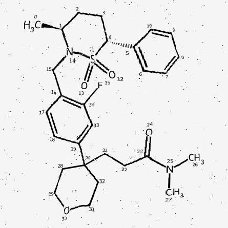 C[C@H]1CC[C@H](c2ccccc2)S(=O)(=O)N1Cc1ccc(C2(CCC(=O)N(C)C)CCOCC2)cc1F